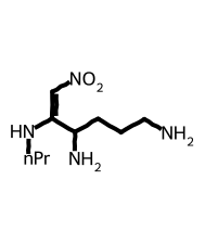 CCCNC(=C[N+](=O)[O-])C(N)CCCN